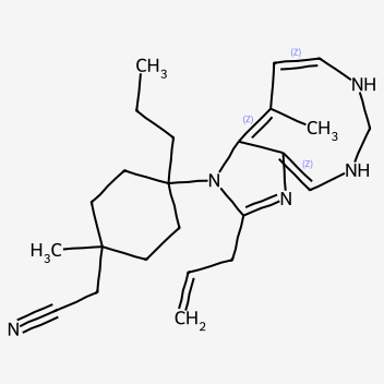 C=CCc1nc2/c(n1C1(CCC)CCC(C)(CC#N)CC1)=C(C)/C=C\NCN/C=2